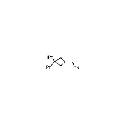 CC(C)C1(C(C)C)CC(CC#N)C1